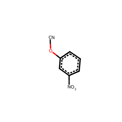 N#COc1cccc([N+](=O)[O-])c1